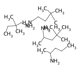 CC(C)(C)CCN.CC(N)CC(C)(C)C.CCC(C)(C)CN.CCCC(C)N